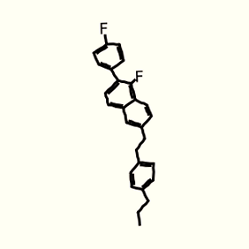 CCCc1ccc(CCc2ccc3c(F)c(-c4ccc(F)cc4)ccc3c2)cc1